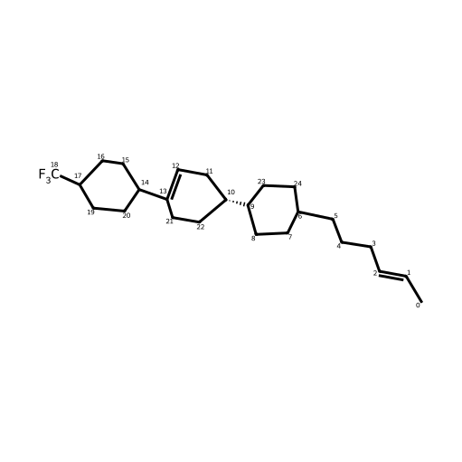 C/C=C/CCCC1CCC([C@H]2CC=C(C3CCC(C(F)(F)F)CC3)CC2)CC1